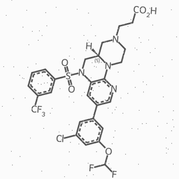 O=C(O)CCN1CCN2c3ncc(-c4cc(Cl)cc(OC(F)F)c4)cc3N(S(=O)(=O)c3cccc(C(F)(F)F)c3)C[C@@H]2C1